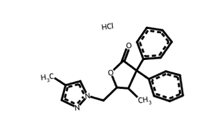 Cc1cnn(CC2OC(=O)C(c3ccccc3)(c3ccccc3)C2C)c1.Cl